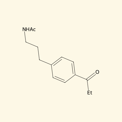 CCC(=O)c1ccc(CCCNC(C)=O)cc1